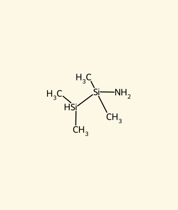 C[SiH](C)[Si](C)(C)N